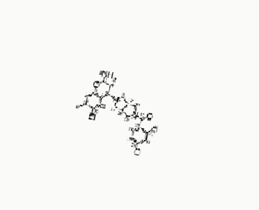 Cc1ccc(C(CC(N)=O)N2CC3CN(C(=O)c4ccc(Cl)cc4Cl)CC3C2)cc1Cl